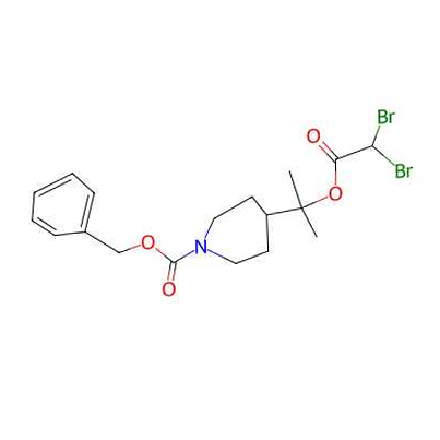 CC(C)(OC(=O)C(Br)Br)C1CCN(C(=O)OCc2ccccc2)CC1